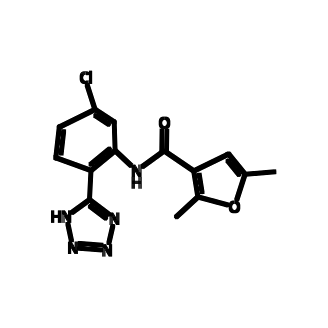 Cc1cc(C(=O)Nc2cc(Cl)ccc2-c2nnn[nH]2)c(C)o1